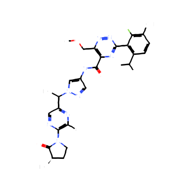 COCc1nnc(-c2c(C(C)C)ccc(C)c2F)nc1C(=O)Nc1cnn(C(C)c2cnc(N3CC[C@@H](C)C3=O)c(C)n2)c1